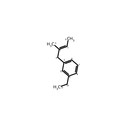 CC=C(C)Cc1cccc(CC)c1